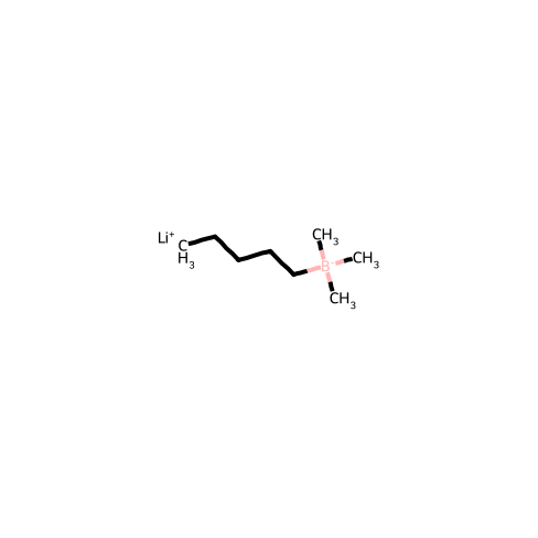 CCCCC[B-](C)(C)C.[Li+]